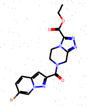 CCOC(=O)c1nnc2n1CCN(C(=O)c1cc3ccc(Br)cn3n1)C2